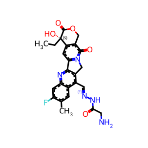 CC[C@@]1(O)C(=O)OCc2c1cc1n(c2=O)Cc2c-1nc1cc(F)c(C)cc1c2/C=N/NC(=O)CN